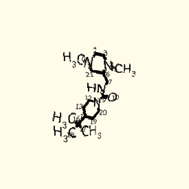 CN1CCN(C)C(CNC(=O)N2CCC(C(C)(C)C)CC2)C1